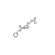 O=C(Cl)OCOC(=O)CNC(=O)OCc1ccccc1